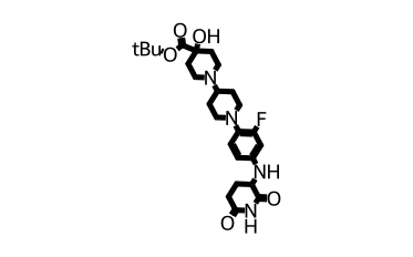 CC(C)(C)OC(=O)C1(O)CCN(C2CCN(c3ccc(NC4CCC(=O)NC4=O)cc3F)CC2)CC1